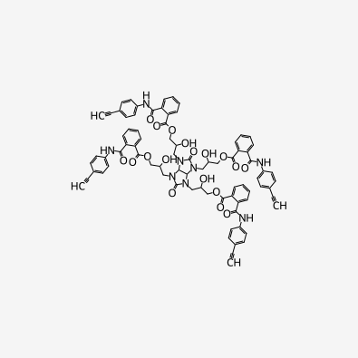 C#Cc1ccc(NC(=O)c2ccccc2C(=O)OCC(O)CN2C(=O)N(CC(O)COC(=O)c3ccccc3C(=O)Nc3ccc(C#C)cc3)C3C2N(CC(O)COC(=O)c2ccccc2C(=O)Nc2ccc(C#C)cc2)C(=O)N3CC(O)COC(=O)c2ccccc2C(=O)Nc2ccc(C#C)cc2)cc1